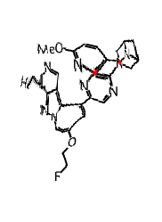 COc1ccc(CN2C3CC2CN(c2cnc(-c4cc(OCCF)cn5nc6[nH]ncc6c45)cn2)C3)cn1